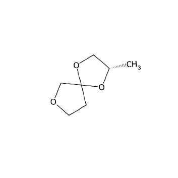 C[C@H]1COC2(CCOC2)O1